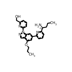 CCCOc1cc(-c2cccc([C@@H](N)CCC)n2)cc2c1cnn2-c1cccc(CO)n1